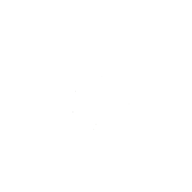 CC(O)CO.COC(=O)CCCO